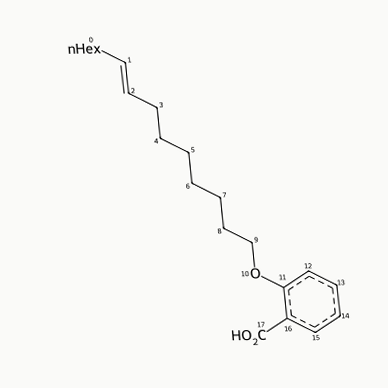 CCCCCCC=CCCCCCCCOc1ccccc1C(=O)O